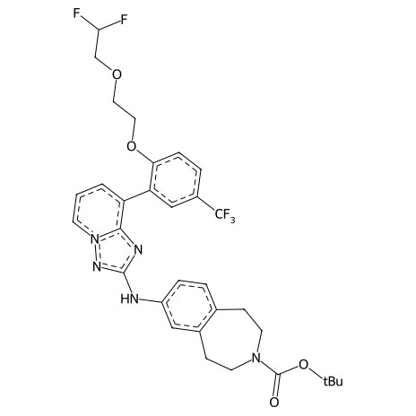 CC(C)(C)OC(=O)N1CCc2ccc(Nc3nc4c(-c5cc(C(F)(F)F)ccc5OCCOCC(F)F)cccn4n3)cc2CC1